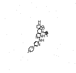 C[C@@H]1C2CC1(N1C(=O)[C@]3(CCNC3=O)Cc3cnc(Nc4ccc(N5CCN(C)CC5)cn4)nc31)C2